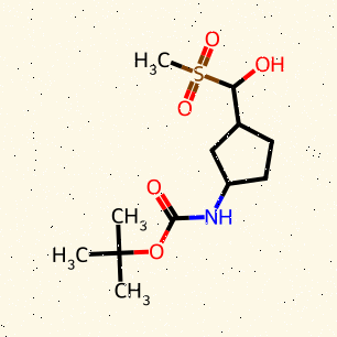 CC(C)(C)OC(=O)NC1CCC(C(O)S(C)(=O)=O)C1